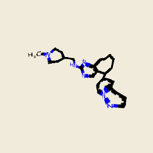 CN1CCC(CNc2ncc3c(n2)CCCC=C3c2ccn3nccc3c2)CC1